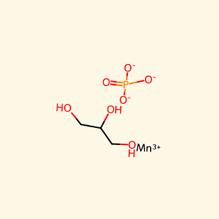 O=P([O-])([O-])[O-].OCC(O)CO.[Mn+3]